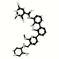 COc1nc(-c2cccc(-c3cccc(NC(=O)c4cc(Cl)nn(C)c4=O)c3Cl)c2Cl)ccc1CNC1CCOCC1O